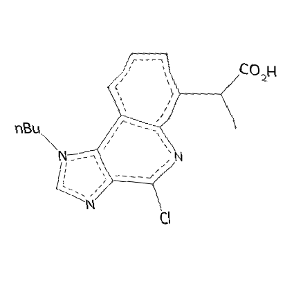 CCCCn1cnc2c(Cl)nc3c(C(C)C(=O)O)cccc3c21